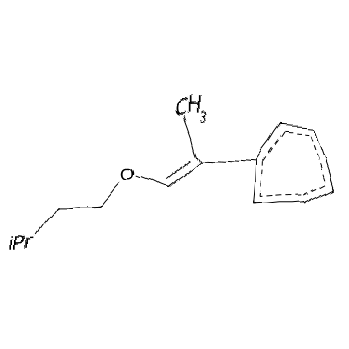 CC(=COCCC(C)C)c1ccccc1